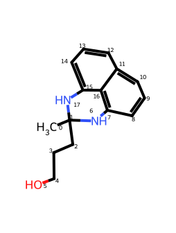 CC1(CCCO)Nc2cccc3cccc(c23)N1